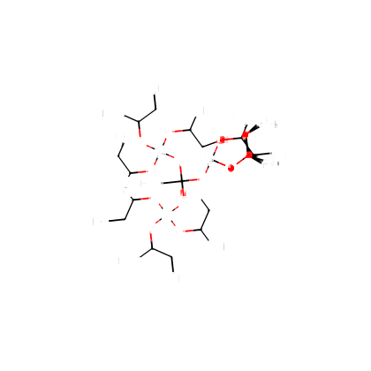 CCC(C)O[Si](OC(C)CC)(OC(C)CC)OC([SiH3])(O[Si](OC(C)CC)(OC(C)CC)OC(C)CC)O[Si](OC(C)CC)(OC(C)CC)OC(C)CC